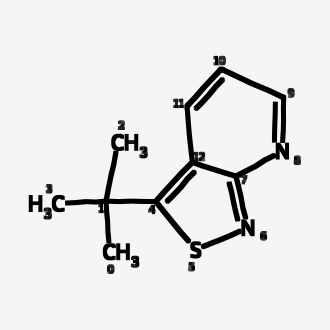 CC(C)(C)c1snc2ncccc12